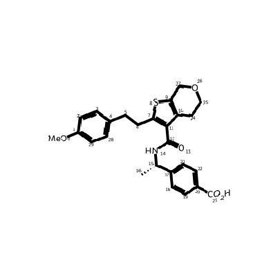 COc1ccc(CCc2sc3c(c2C(=O)N[C@@H](C)c2ccc(C(=O)O)cc2)CCOC3)cc1